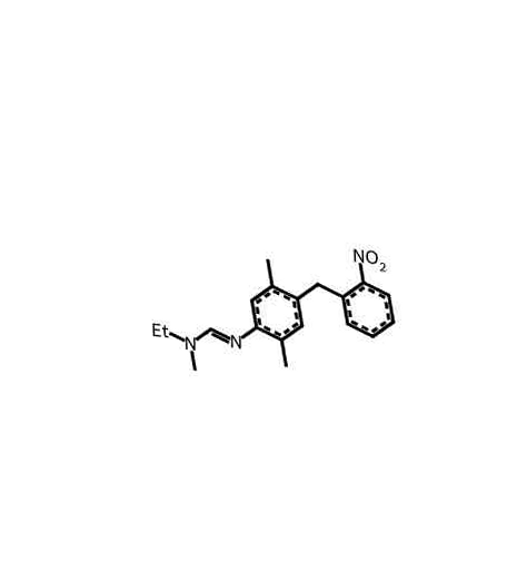 CCN(C)C=Nc1cc(C)c(Cc2ccccc2[N+](=O)[O-])cc1C